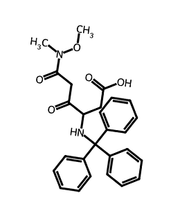 CON(C)C(=O)CC(=O)C(CC(=O)O)NC(c1ccccc1)(c1ccccc1)c1ccccc1